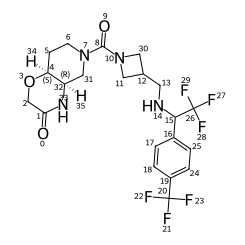 O=C1CO[C@H]2CCN(C(=O)N3CC(CNC(c4ccc(C(F)(F)F)cc4)C(F)(F)F)C3)C[C@H]2N1